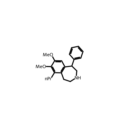 CCCc1c2c(cc(OC)c1OC)C(c1ccccc1)CNCC2